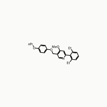 CCCOc1ccc(OCc2cnc(-c3c(CC)cccc3CC)cc2OC)cc1